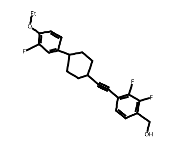 CCOc1ccc(C2CCC(C#Cc3ccc(CO)c(F)c3F)CC2)cc1F